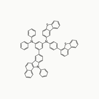 c1ccc(N(c2ccccc2)c2cc(-c3ccc4c(c3)c3ccc5ccccc5c3n4-c3ccccc3)cc(N(c3ccc(-c4cccc5c4sc4ccccc45)cc3)c3ccc4sc5ccccc5c4c3)c2)cc1